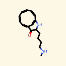 CNCCCCC1Nc2cccccccc(c2)C1=O